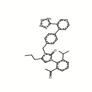 CCCc1cn(-c2c(C(C)=O)cccc2C(C)C)c(=O)n1Cc1ccc(-c2ccncc2-c2nnn[nH]2)cc1